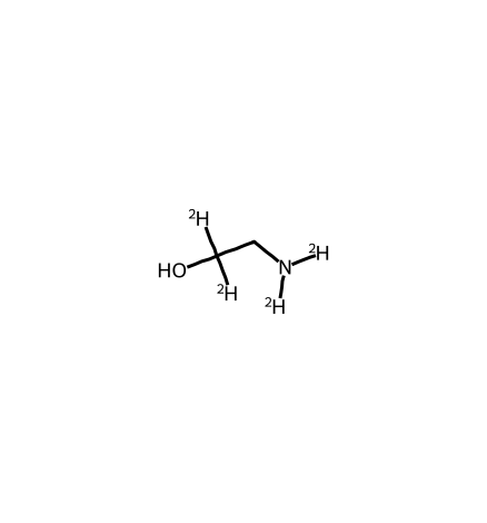 [2H]N([2H])CC([2H])([2H])O